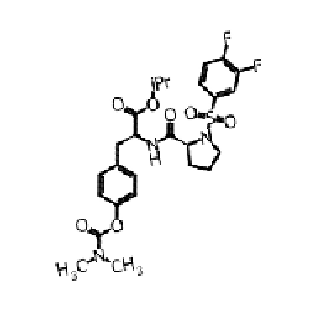 CC(C)OC(=O)[C@H](Cc1ccc(OC(=O)N(C)C)cc1)NC(=O)[C@@H]1CCCN1S(=O)(=O)c1ccc(F)c(F)c1